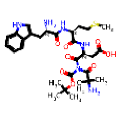 CSCC[C@H](NC(=O)[C@@H](N)Cc1c[nH]c2ccccc12)C(=O)N[C@@H](CC(=O)O)C(=O)N(C(=O)OC(C)(C)C)C(=O)C(C)(C)N